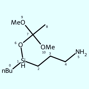 CCCC[SiH](CCCN)OC(C)(OC)OC